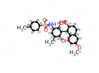 COc1ccc2c(-c3c(C)c(NS(=O)(=O)c4ccc(C)cc4)cc(C)c3O)c(O)ccc2c1